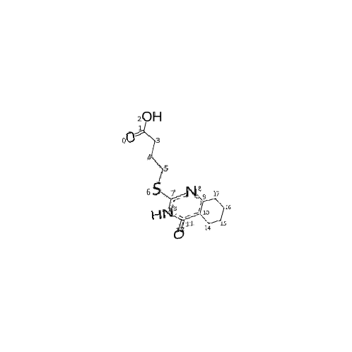 O=C(O)CCCSc1nc2c(c(=O)[nH]1)CCCC2